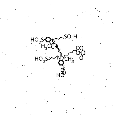 CC1(C)C(C=CC=CC=C2N(CCCCS(=O)(=O)O)c3ccc(SOOO)cc3C2(C)CCCCCC(=O)ON2C(=O)CCC2=O)=[N+](CCCCS(=O)(=O)O)c2ccc(S(=O)(=O)O)cc21